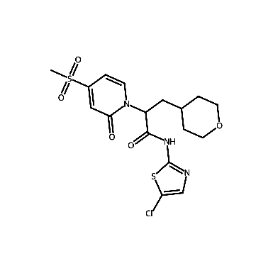 CS(=O)(=O)c1ccn(C(CC2CCOCC2)C(=O)Nc2ncc(Cl)s2)c(=O)c1